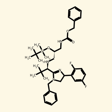 CC(C)(C)[C@@H](NC[C@@H](CNC(=O)OCc1ccccc1)O[Si](C)(C)C(C)(C)C)C1=NC(c2cc(F)ccc2F)CN1Cc1ccccc1